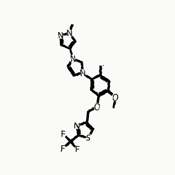 [CH2]c1cc(OC)c(OCc2csc(C(F)(F)F)n2)cc1N1C=CN(c2cnn(C)c2)C1